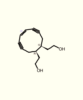 OCC[C@H]1CC#C/C=C\C#CC[C@H]1CCO